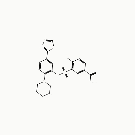 CCc1ccc(C(=O)OC)cc1S(=O)(=O)Nc1cc(-c2nncs2)ccc1N1CCCCC1